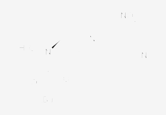 CN(C(=O)OC(C)(C)C)[C@H]1CCCN(c2ccncc2[N+](=O)[O-])C1